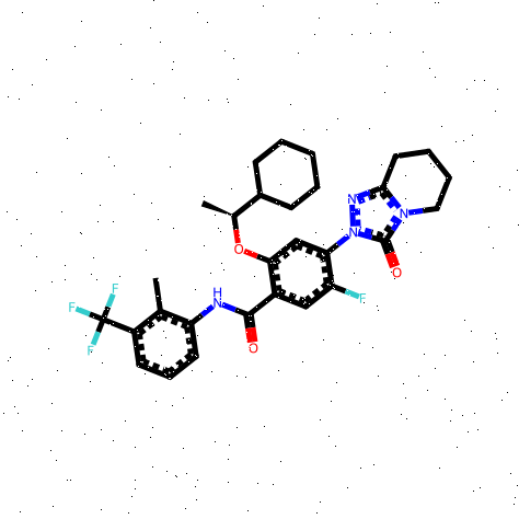 Cc1c(NC(=O)c2cc(F)c(-n3nc4n(c3=O)CCCC4)cc2O[C@@H](C)C2CCCCC2)cccc1C(F)(F)F